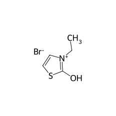 CC[n+]1ccsc1O.[Br-]